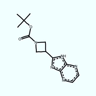 CC(C)(C)OC(=O)N1CC(c2nc3nccnc3[nH]2)C1